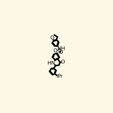 CC(C)c1cccc(C2CC(=O)c3cc(S(=O)(=O)Nc4ccc5c(c4)CCO5)ccc3N2)c1